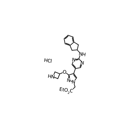 CCOC(=O)Cn1cc(-c2cnc(NC3Cc4ccccc4C3)nc2)c(OC2CNC2)n1.Cl